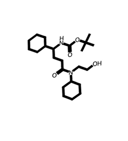 CC(C)(C)OC(=O)NC(CCC(=O)N(CCO)C1CCCCC1)C1CCCCC1